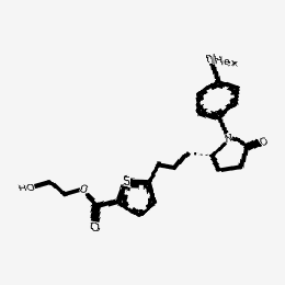 CCCCCCc1ccc(N2C(=O)CC[C@@H]2CCCc2ccc(C(=O)OCCO)s2)cc1